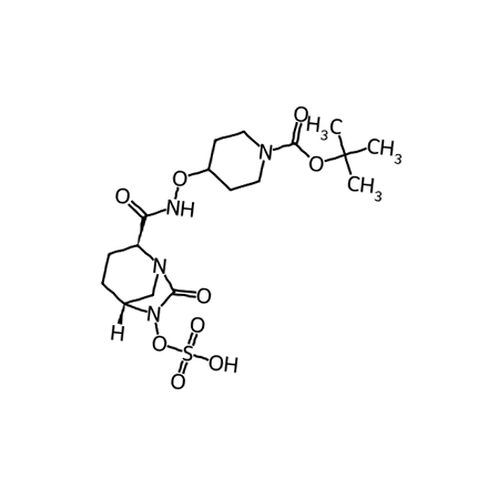 CC(C)(C)OC(=O)N1CCC(ONC(=O)[C@@H]2CC[C@@H]3CN2C(=O)N3OS(=O)(=O)O)CC1